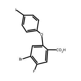 O=C(O)c1cc(F)c(Br)cc1Oc1ccc(I)cc1